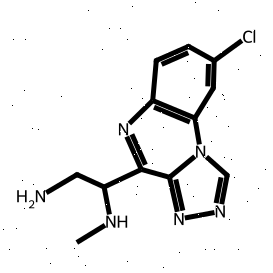 CNC(CN)c1nc2ccc(Cl)cc2n2cnnc12